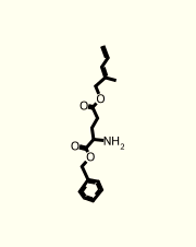 C=C/C=C(\C)COC(=O)CCC(N)C(=O)OCc1ccccc1